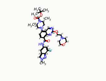 C[C@@H]1CN(c2ccc(C(=O)Nc3cc(F)c4nn(C)cc4c3)c3nc(OCCN4CCOCC4)ncc23)C[C@H](C)N1C(=O)OC(C)(C)C